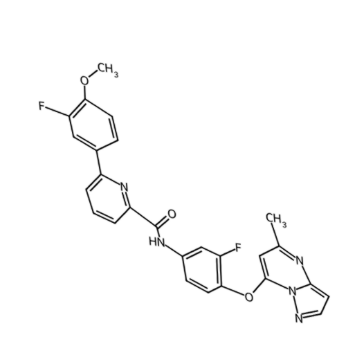 COc1ccc(-c2cccc(C(=O)Nc3ccc(Oc4cc(C)nc5ccnn45)c(F)c3)n2)cc1F